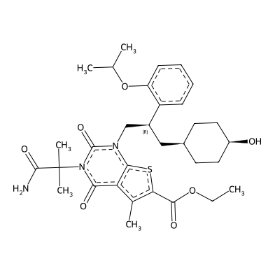 CCOC(=O)c1sc2c(c1C)c(=O)n(C(C)(C)C(N)=O)c(=O)n2C[C@H](C[C@H]1CC[C@@H](O)CC1)c1ccccc1OC(C)C